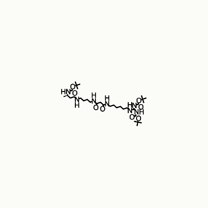 C[C@H](CCNCCCCNC(=O)CC(=O)NCCCCCCNC(=NC(=O)OC(C)(C)C)NC(=O)OC(C)(C)C)NC(=O)OC(C)(C)C